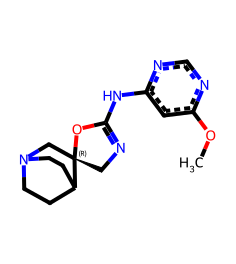 COc1cc(NC2=NC[C@@]3(CN4CCC3CC4)O2)ncn1